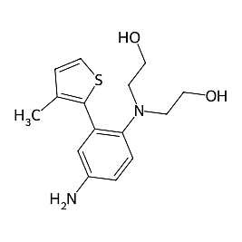 Cc1ccsc1-c1cc(N)ccc1N(CCO)CCO